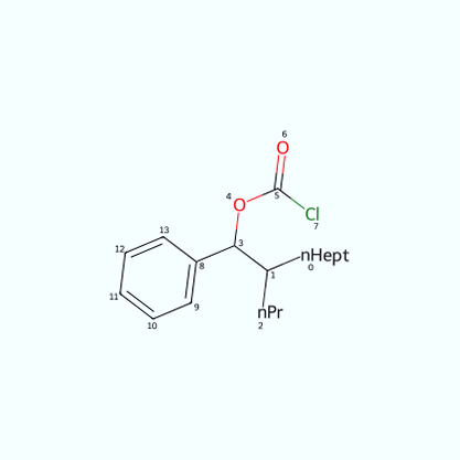 CCCCCCCC(CCC)C(OC(=O)Cl)c1ccccc1